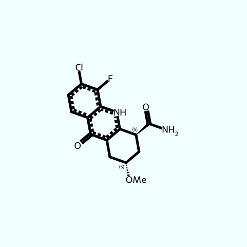 CO[C@@H]1Cc2c([nH]c3c(F)c(Cl)ccc3c2=O)[C@@H](C(N)=O)C1